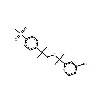 CC(C)(C)c1ccnc(C(C)(C)OCC(C)(C)c2ccc(S(C)(=O)=O)cc2)c1